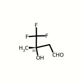 C[C@](O)(CC=O)C(F)(F)F